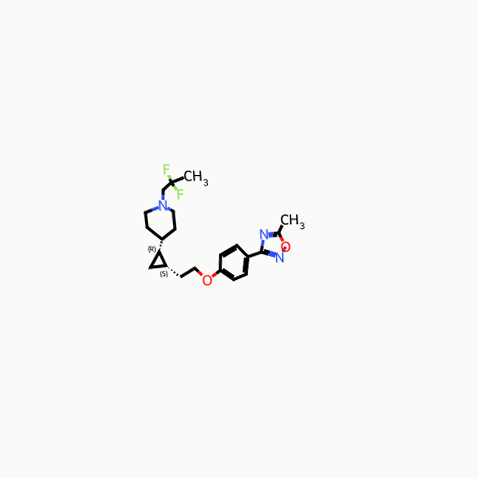 Cc1nc(-c2ccc(OCC[C@@H]3C[C@@H]3C3CCN(CC(C)(F)F)CC3)cc2)no1